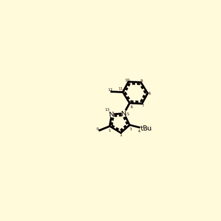 Cc1cc(C(C)(C)C)n(-c2ccccc2C)n1